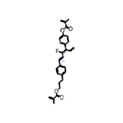 C=C/C(=C(F)\C=C\c1ccc(CCCOC(=O)C(=C)C)cc1)c1ccc(OC(=O)C(=C)C)cc1